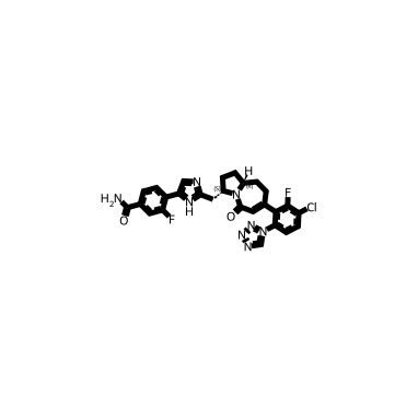 NC(=O)c1ccc(-c2cnc(C[C@@H]3CC[C@H]4CCC(c5c(-n6cnnn6)ccc(Cl)c5F)=CC(=O)N43)[nH]2)c(F)c1